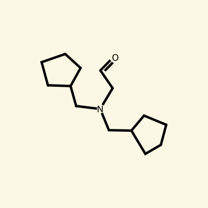 O=CCN(CC1CCCC1)CC1CCCC1